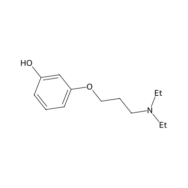 CCN(CC)CCCOc1cccc(O)c1